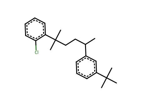 CC(CCC(C)(C)c1ccccc1Cl)c1cccc(C(C)(C)C)c1